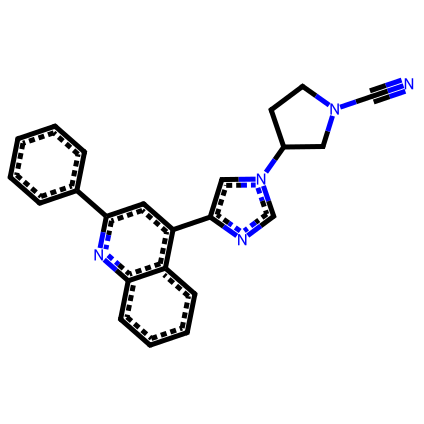 N#CN1CCC(n2cnc(-c3cc(-c4ccccc4)nc4ccccc34)c2)C1